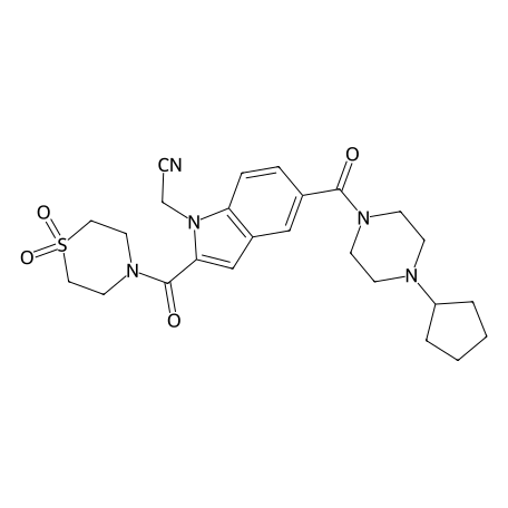 N#CCn1c(C(=O)N2CCS(=O)(=O)CC2)cc2cc(C(=O)N3CCN(C4CCCC4)CC3)ccc21